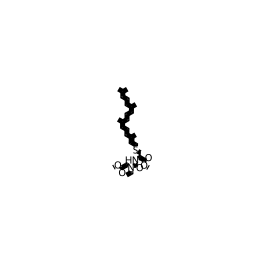 CCN(CC(=O)OC)C(=O)N[C@@H](CSC/C=C(\C)CCCC(C)CCCC(C)CCCC(C)C)C(=O)OC